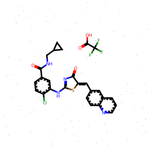 O=C(O)C(F)(F)F.O=C1N=C(Nc2cc(C(=O)NCC3CC3)ccc2Cl)S/C1=C\c1ccc2ncccc2c1